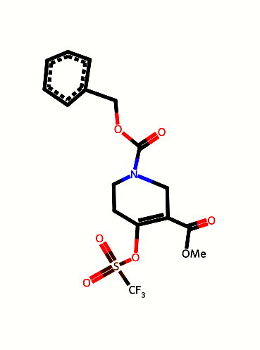 COC(=O)C1=C(OS(=O)(=O)C(F)(F)F)CCN(C(=O)OCc2ccccc2)C1